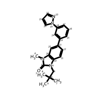 Cn1c(=O)n(CC(C)(C)C)c2ccc(-c3cccc(-n4cccn4)c3)cc21